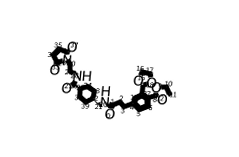 O=C(CCc1ccc(C2OCCO2)c(C2OCCO2)c1)NC[C@H]1CC[C@H](C(=O)NCCN2C(=O)C=CC2=O)CC1